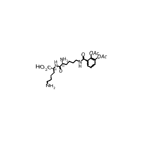 CC(=O)Oc1cccc(C(=O)NCCCC[C@H](N)C(=O)N[C@@H](CCCCN)C(=O)O)c1OC(C)=O